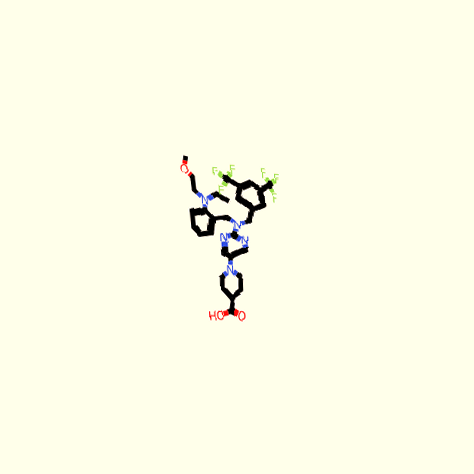 CCN(CCOC)c1ccccc1CN(Cc1cc(C(F)(F)F)cc(C(F)(F)F)c1)c1ncc(N2CCC(C(=O)O)CC2)cn1